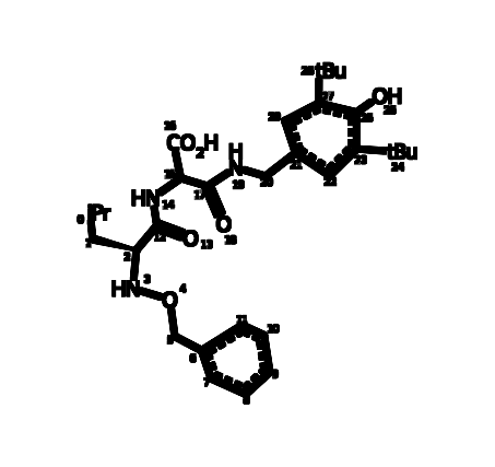 CC(C)C[C@H](NOCc1ccccc1)C(=O)NC(C(=O)O)C(=O)NCc1cc(C(C)(C)C)c(O)c(C(C)(C)C)c1